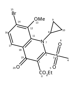 CCOC(=O)c1c(S(C)(=O)=O)n(C2CC2)c2c(OC)c(Br)ccc2c1=O